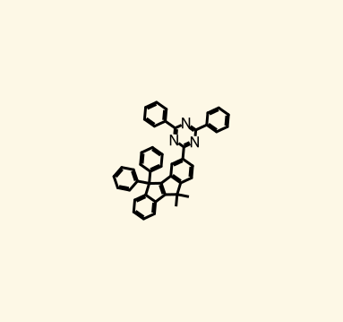 CC1(C)C2=C(c3cc(-c4nc(-c5ccccc5)nc(-c5ccccc5)n4)ccc31)C(c1ccccc1)(c1ccccc1)c1ccccc12